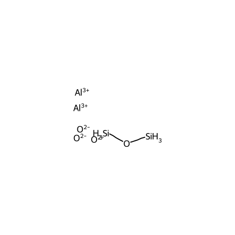 [Al+3].[Al+3].[O-2].[O-2].[O-2].[SiH3]O[SiH3]